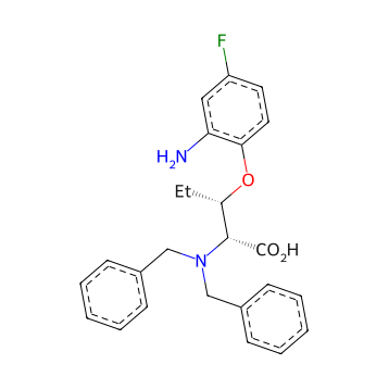 CC[C@H](Oc1ccc(F)cc1N)[C@H](C(=O)O)N(Cc1ccccc1)Cc1ccccc1